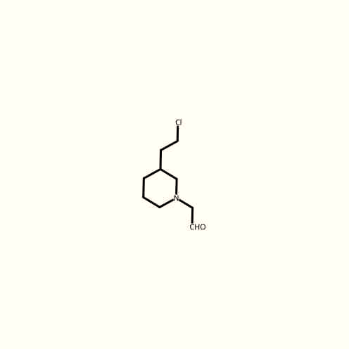 O=CCN1CCCC(CCCl)C1